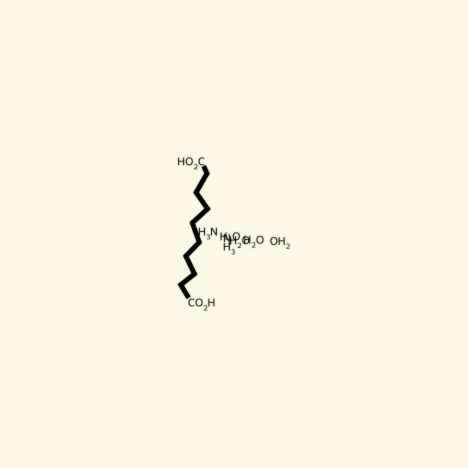 N.N.O.O.O.O.O=C(O)CCCCCCCCC(=O)O